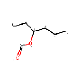 [CH2]CCC(CC)OC=O